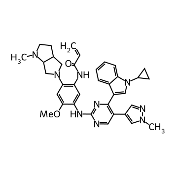 C=CC(=O)Nc1cc(Nc2ncc(-c3cnn(C)c3)c(-c3cn(C4CC4)c4ccccc34)n2)c(OC)cc1N1CC2CCN(C)C2C1